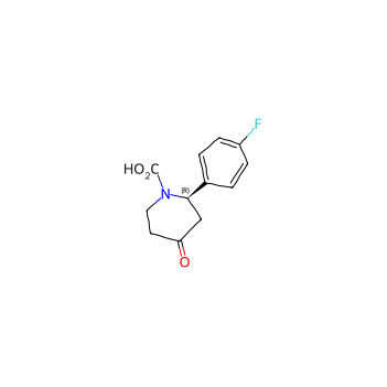 O=C1CCN(C(=O)O)[C@@H](c2ccc(F)cc2)C1